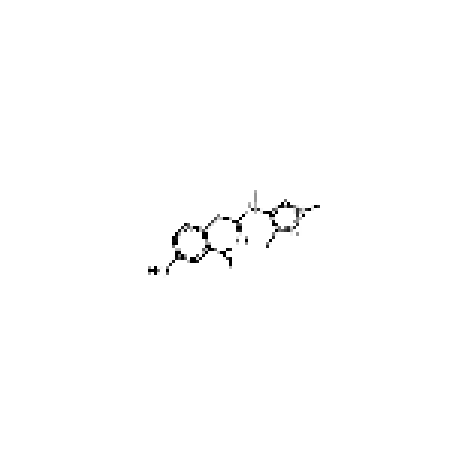 COc1cc(O)ccc1CC(=O)Nc1cn(C)nc1C